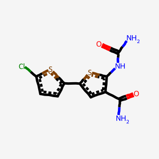 NC(=O)Nc1sc(-c2ccc(Cl)s2)cc1C(N)=O